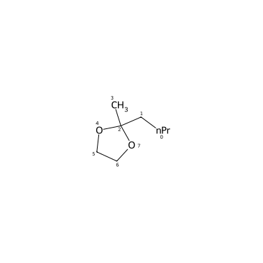 C[CH]CCC1(C)OCCO1